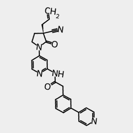 C=CC[C@]1(C#N)CCN(c2ccnc(NC(=O)Cc3cccc(-c4ccncc4)c3)c2)C1=O